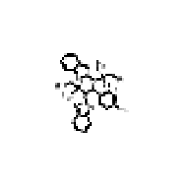 CC(C)CC(C)(C)C(C(c1ccc(O)cc1)C(n1nc2ccccc2n1)C(C)(C)CC(C)C)n1nc2ccccc2n1